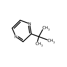 CC(C)(C)c1cnccn1